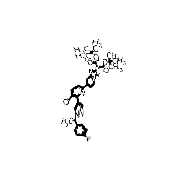 C[C@H](c1ccc(F)cc1)n1cc(-c2nc(-c3ccn4nc(N(C(=O)OC(C)(C)C)C(=O)OC(C)(C)C)nc4c3)ccc2Cl)cn1